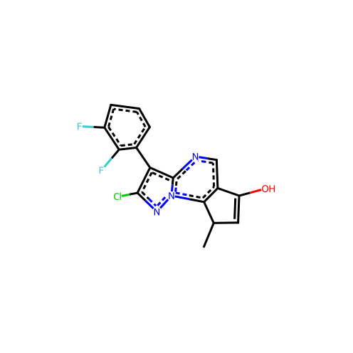 CC1C=C(O)c2cnc3c(-c4cccc(F)c4F)c(Cl)nn3c21